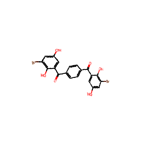 O=C(c1ccc(C(=O)c2cc(O)cc(Br)c2O)cc1)c1cc(O)cc(Br)c1O